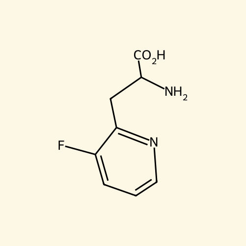 NC(Cc1ncccc1F)C(=O)O